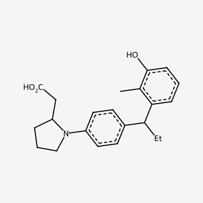 CCC(c1ccc(N2CCCC2CC(=O)O)cc1)c1cccc(O)c1C